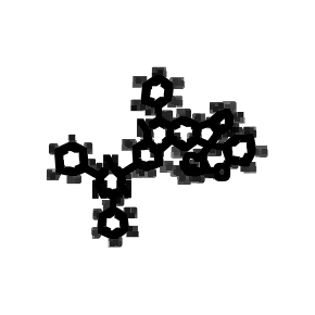 c1ccc(-c2nc(-c3ccccc3)nc(-c3ccc4c(c3)nc(-c3ccccc3)c3cc5c(cc34)C3(c4ccccc4Oc4ccccc43)c3ccccc3-5)n2)cc1